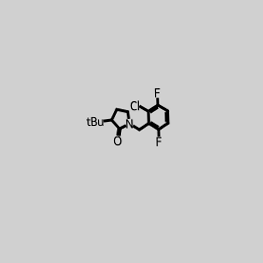 CC(C)(C)C1CCN(Cc2c(F)ccc(F)c2Cl)C1=O